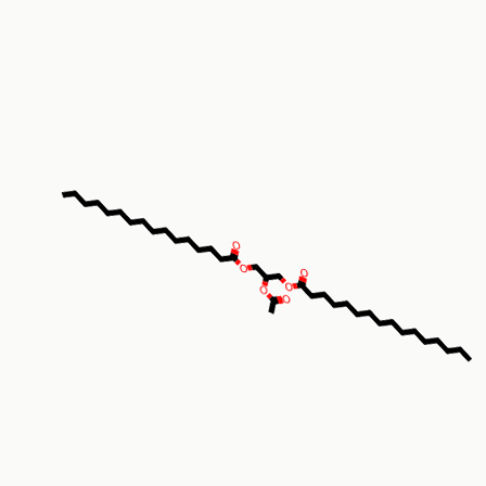 CCCCCCCCCCCCCCCC(=O)OCC(COC(=O)CCCCCCCCCCCCCCC)OC(C)=O